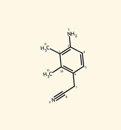 Cc1c(N)ccc(CC#N)c1C